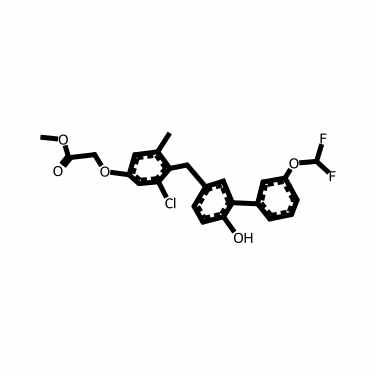 COC(=O)COc1cc(C)c(Cc2ccc(O)c(-c3cccc(OC(F)F)c3)c2)c(Cl)c1